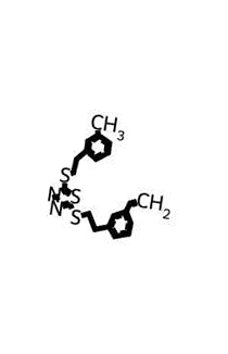 C=Cc1cccc(CCSc2nnc(SCCc3cccc(C)c3)s2)c1